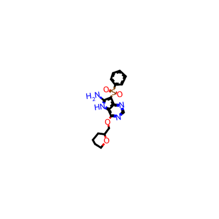 Nc1[nH]c2c(OCC3CCCCO3)ncnc2c1S(=O)(=O)c1ccccc1